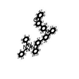 c1ccc(-c2nc(-c3ccccc3)nc(-n3c4ccccc4c4cc(-c5ccc6c7ccccc7n(-c7ccc(-c8ccc9oc%10ccccc%10c9c8)cc7)c6c5)ccc43)n2)cc1